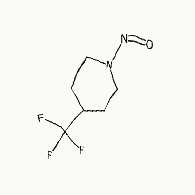 O=NN1CCC(C(F)(F)F)CC1